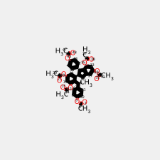 CC(=O)Oc1ccc([C@@H](C)c2c(OC(C)=O)cc(OC(C)=O)cc2[C@@H]2Cc3cc(OC(C)=O)cc(OC(C)=O)c3[C@H]2c2ccc(OC(C)=O)cc2)cc1